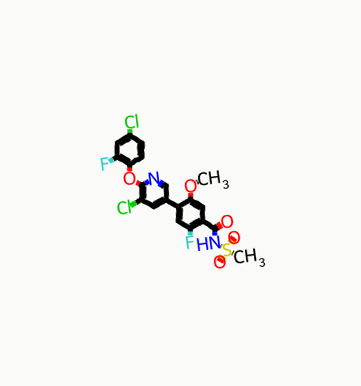 COc1cc(C(=O)NS(C)(=O)=O)c(F)cc1-c1cnc(Oc2ccc(Cl)cc2F)c(Cl)c1